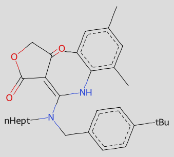 CCCCCCCN(Cc1ccc(C(C)(C)C)cc1)/C(Nc1c(C)cc(C)cc1C)=C1/C(=O)COC1=O